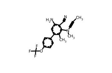 CC#CN(C)c1c(C)c(-c2ccc(OC(F)(F)F)cc2)cc(N)c1C#N